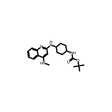 CNc1cc(NC2CCC(NC(=O)OC(C)(C)C)CC2)nc2ccccc12